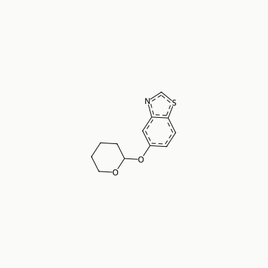 c1nc2cc(OC3CCCCO3)ccc2s1